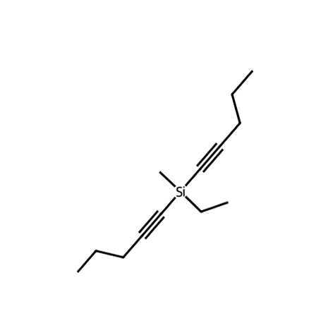 CCCC#C[Si](C)(C#CCCC)CC